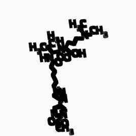 CCN(CC)CCCC[C@H](NC(=O)[C@@H](NC(=O)CCCCCn1cc(-c2cnc(S(C)(=O)=O)nc2)nn1)C(C)C)C(=O)O